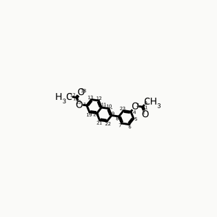 CC(=O)Oc1cccc(-c2[c]c3ccc(OC(C)=O)cc3cc2)c1